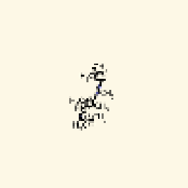 CO[C@@]1(C)CCO[C@H](/C=C/C(C)=C/C[C@@H]2O[C@H](C)[C@H](NC(=O)/C=C\[C@H](C)OC(C)=O)C[C@@H]2C)C1